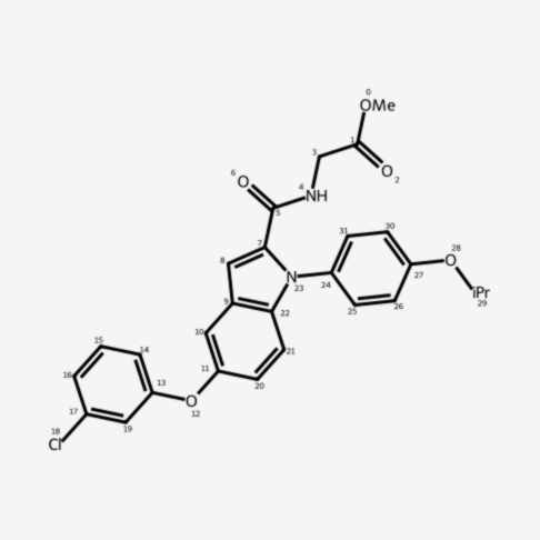 COC(=O)CNC(=O)c1cc2cc(Oc3cccc(Cl)c3)ccc2n1-c1ccc(OC(C)C)cc1